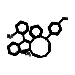 C=C1/C=C\CC=CN(c2ccc(C(C)(C)C)cc2)c2ccccc2C1=C(c1ccccc1C)c1ccccc1C